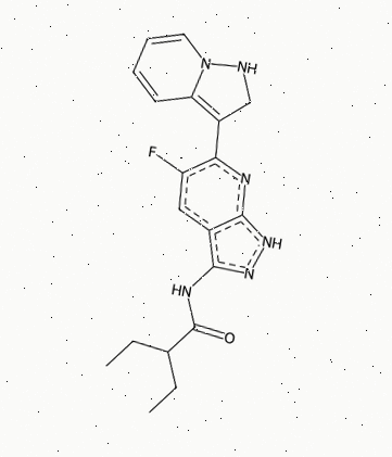 CCC(CC)C(=O)Nc1n[nH]c2nc(C3=C4C=CC=CN4NC3)c(F)cc12